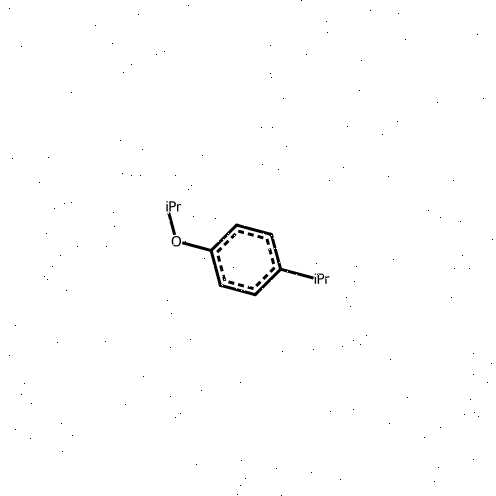 [CH2]C(C)Oc1ccc(C(C)C)cc1